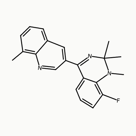 Cc1cccc2cc(C3=NC(C)(C)N(C)c4c(F)cccc43)cnc12